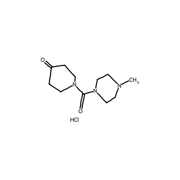 CN1CCN(C(=O)N2CCC(=O)CC2)CC1.Cl